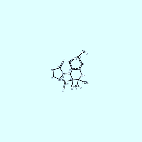 CC1(C)Oc2cc(N)ccc2C(N2CCCC2=O)C1(O)[N+](=O)[O-]